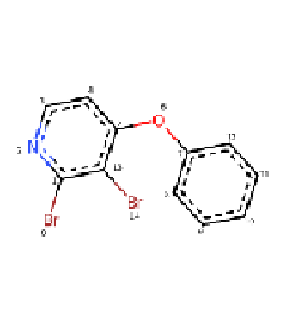 Brc1nccc(Oc2ccccc2)c1Br